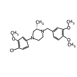 COc1cc(N2CCN(Cc3ccc(OC)c(OC)c3)[C@@H](C)C2)ccc1Cl